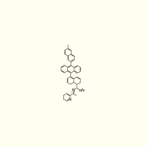 CCCC(/N=C(\C)C1=CCCC=N1)C1CC=CC2=C(c3c4ccccc4c(-c4ccc5cc(C)ccc5c4)c4ccccc34)C=CCC21